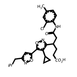 Cc1ccc(NC(=O)CC(CCC(=O)O)c2noc(-c3cc(CC(C)C)no3)c2C2CC2)c(Cl)c1